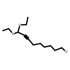 CCOC(C#CCCCCCCCl)OCC